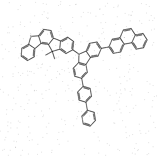 CC1(C)c2cc(-n3c4ccc(-c5ccc(-c6ccccc6)cc5)cc4c4cc(-c5ccc6c(ccc7ccccc76)c5)ccc43)ccc2-c2ccc3sc4ccccc4c3c21